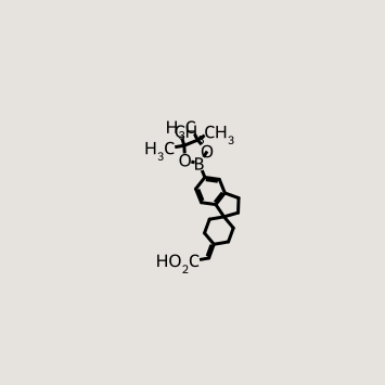 CC1(C)OB(c2ccc3c(c2)CCC32CCC(=CC(=O)O)CC2)OC1(C)C